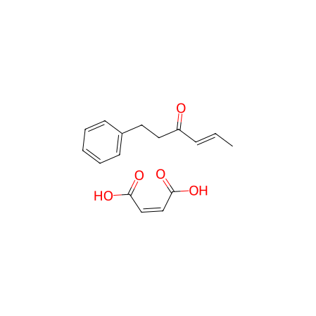 CC=CC(=O)CCc1ccccc1.O=C(O)/C=C\C(=O)O